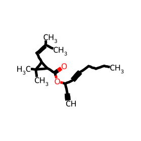 C#CC(C#CCCCC)OC(=O)C1C(C=C(C)C)C1(C)C